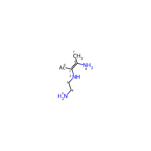 CC(=O)/C(NCCN)=C(\C)N